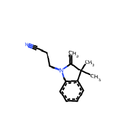 C=C1N(CCC#N)c2ccccc2C1(C)C